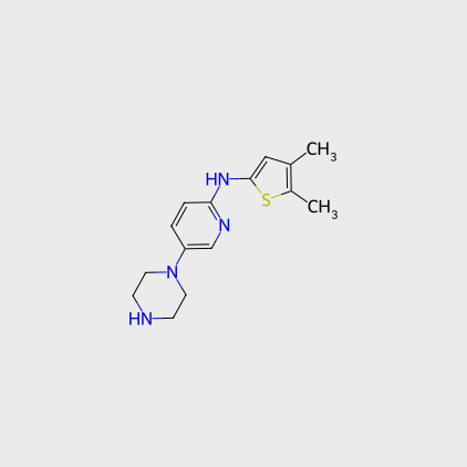 Cc1cc(Nc2ccc(N3CCNCC3)cn2)sc1C